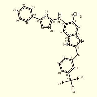 Cc1cc2nc(Cc3cccc(C(F)(F)F)c3)[nH]c2cc1Nc1ncc(-c2ccncc2)o1